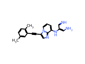 Cc1ccc(C)c(C#Cc2cnc3c(N/C(C=N)=C/N)cccn23)c1